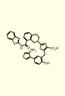 Nc1cscc1-c1ccc(O)c(Cc2sc(N3CCc4cccc(C(=O)Nc5nc6ccccc6s5)c4C3)nc2C(=O)O)c1